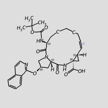 CC(C)(C)OC(=O)N[C@H]1CCCCC/C=C\[C@@H]2C[C@@]2(C(=O)O)NC(=O)[C@@H]2C[C@@H](Oc3nccc4ccccc34)CN2C1=O